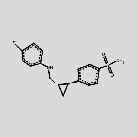 NS(=O)(=O)c1ccc([C@H]2C[C@@H]2CNc2ccc(F)cc2)cc1